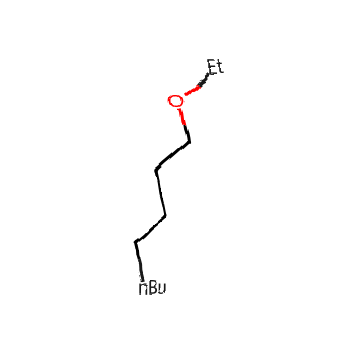 [CH2]CCCCCCCOCC